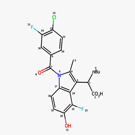 CCCCC(C(=O)O)c1c(C)n(C(=O)c2ccc(Cl)c(F)c2)c2ccc(O)c(F)c12